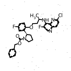 C[C@H](CCOc1ccc(F)cc1[C@H]1CCCN1C(=O)OCc1ccccc1)Nc1c(F)cnc2ccc(Cl)nc12